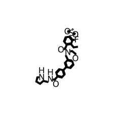 CCc1c(C(=O)N2CCOc3ccc(-c4ccc(C(=O)NCC5CCCN5)cc4)cc3C2)ccc(S(C)(=O)=O)c1F